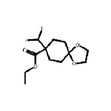 CCOC(=O)C1(C(F)F)CCC2(CC1)OCCO2